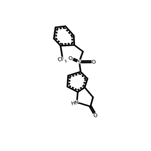 O=C1Cc2cc(S(=O)(=O)Cc3ccccc3C(F)(F)F)ccc2N1